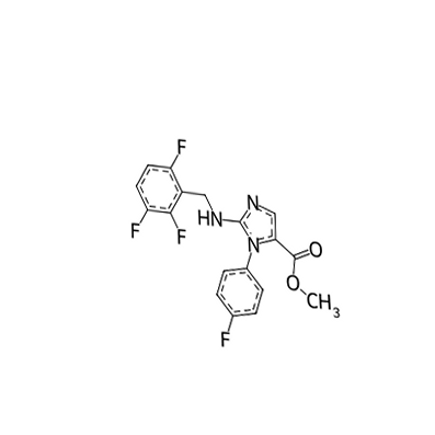 COC(=O)c1cnc(NCc2c(F)ccc(F)c2F)n1-c1ccc(F)cc1